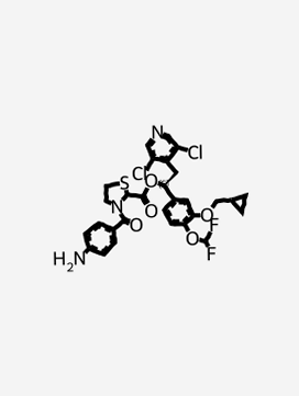 Nc1ccc(C(=O)N2CCSC2C(=O)O[C@@H](Cc2c(Cl)cncc2Cl)c2ccc(OC(F)F)c(OCC3CC3)c2)cc1